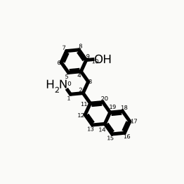 NCC(Cc1ccccc1O)c1ccc2ccccc2c1